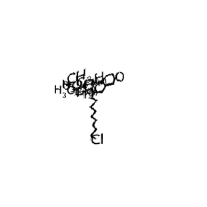 CC(=O)O[C@@]1(C)CC[C@H]2[C@@H]3[C@H](CCCCCCCCCCl)CC4=CC(=O)CC[C@]4(C)[C@H]3CC[C@@]21C